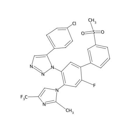 Cc1nc(C(F)(F)F)cn1-c1cc(F)c(-c2cccc(S(C)(=O)=O)c2)cc1-n1nncc1-c1ccc(Cl)cc1